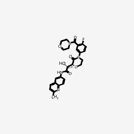 Cc1ccc2cc(NC(=O)[C@H](O)[C@H]3OCCN(c4ccc(F)c(C(=O)N5CCOCC5)c4)C3=O)ccc2n1